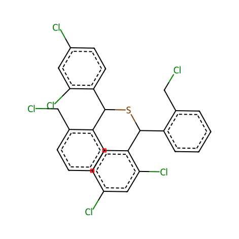 ClCc1ccccc1C(SC(c1ccc(Cl)cc1Cl)c1ccccc1CCl)c1ccc(Cl)cc1Cl